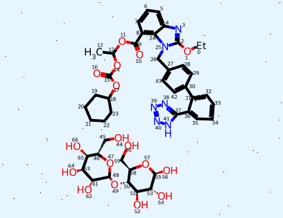 CCOc1nc2cccc(C(=O)OC(C)OC(=O)OC3CCCCC3)c2n1Cc1ccc(-c2ccccc2-c2nnn[nH]2)cc1.OC[C@H]1O[C@@H](O[C@H]2[C@H](O)[C@@H](O)[C@H](O)O[C@@H]2CO)[C@H](O)[C@@H](O)[C@H]1O